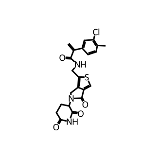 C=C(C(=O)NCc1scc2c1CN(C1CCC(=O)NC1=O)C2=O)c1ccc(C)c(Cl)c1